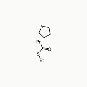 C1CCSC1.CCSC(=O)C(C)C